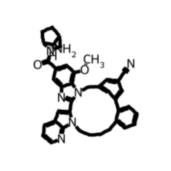 COc1cc(C(=O)N2CC3CCC2[C@@H]3N)cc2nc3n(c12)Cc1cc(C#N)cc(c1)-c1ccccc1CCCCn1c-3cc2cccnc21